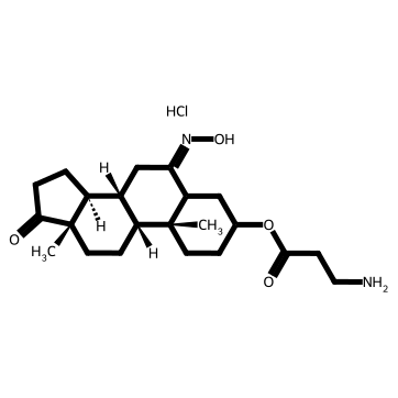 C[C@]12CCC(OC(=O)CCN)CC1/C(=N\O)C[C@@H]1[C@H]2CC[C@]2(C)C(=O)CC[C@@H]12.Cl